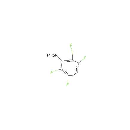 Fc1cc(F)c(F)c([SiH3])c1F